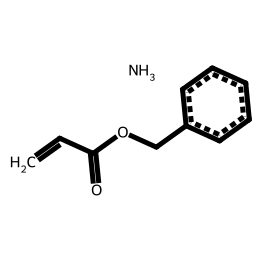 C=CC(=O)OCc1ccccc1.N